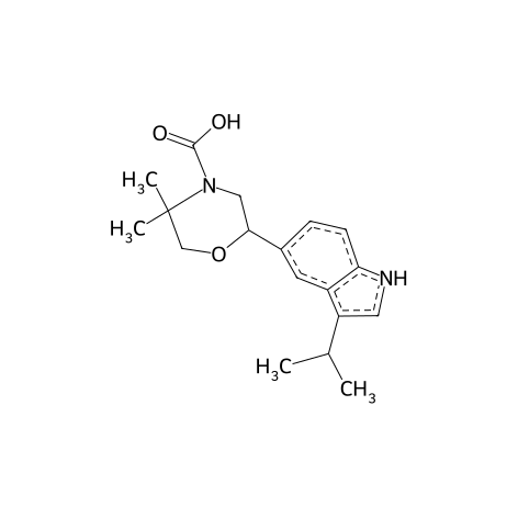 CC(C)c1c[nH]c2ccc(C3CN(C(=O)O)C(C)(C)CO3)cc12